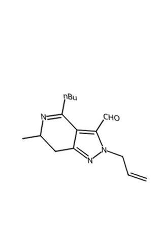 C=CCn1nc2c(c1C=O)C(CCCC)=NC(C)C2